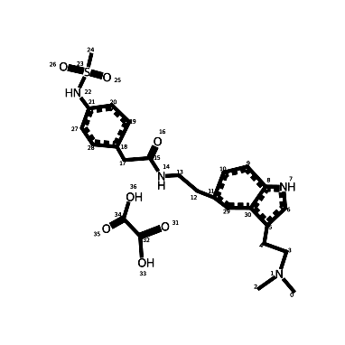 CN(C)CCc1c[nH]c2ccc(CCNC(=O)Cc3ccc(NS(C)(=O)=O)cc3)cc12.O=C(O)C(=O)O